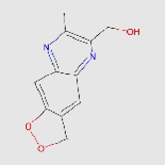 Cc1nc2cc3c(cc2nc1CO)COO3